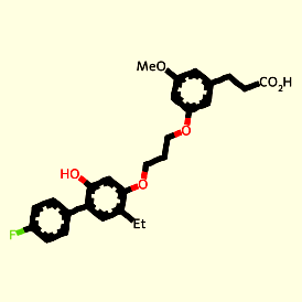 CCc1cc(-c2ccc(F)cc2)c(O)cc1OCCCOc1cc(CCC(=O)O)cc(OC)c1